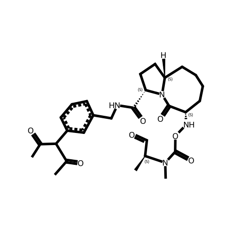 CC(=O)C(C(C)=O)c1cccc(CNC(=O)[C@@H]2CC[C@@H]3CCCC[C@H](NOC(=O)N(C)[C@@H](C)C=O)C(=O)N32)c1